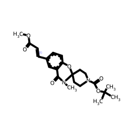 COC(=O)/C=C/c1ccc2c(c1)C(=O)N(C)C1(CCN(C(=O)OC(C)(C)C)CC1)O2